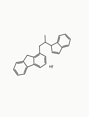 CC(Cc1cccc2c1Cc1ccccc1-2)C1C=Cc2ccccc21.[Hf]